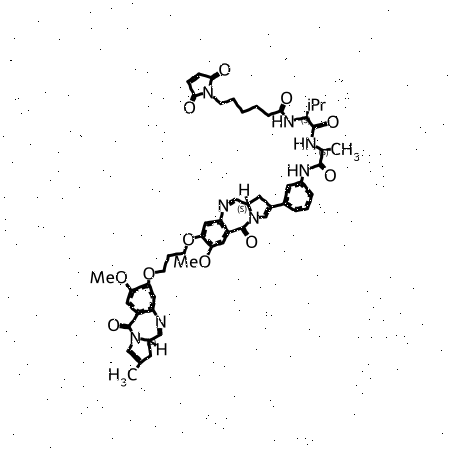 COc1cc2c(cc1OCCCOc1cc3c(cc1OC)C(=O)N1C=C(c4cccc(NC(=O)[C@H](C)NC(=O)[C@@H](NC(=O)CCCCCN5C(=O)C=CC5=O)C(C)C)c4)C[C@H]1C=N3)N=C[C@@H]1CC(C)=CN1C2=O